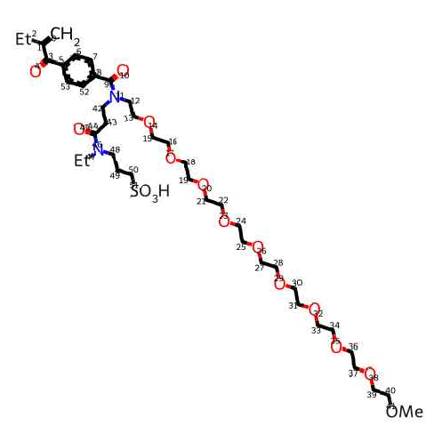 C=C(CC)C(=O)c1ccc(C(=O)N(CCOCCOCCOCCOCCOCCOCCOCCOCCOCCOC)CCC(=O)N(CC)CCCS(=O)(=O)O)cc1